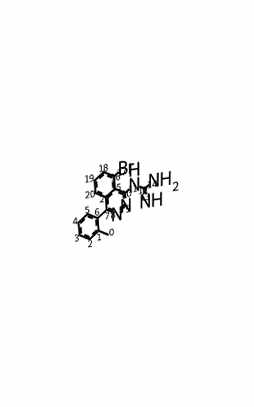 Cc1ccccc1-c1nnc(NC(=N)N)c2c(Br)cccc12